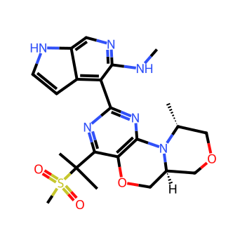 CNc1ncc2[nH]ccc2c1-c1nc2c(c(C(C)(C)S(C)(=O)=O)n1)OC[C@@H]1COC[C@@H](C)N21